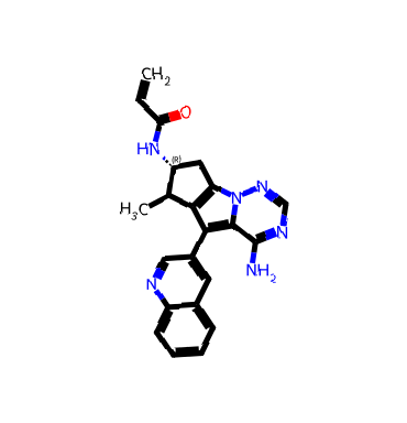 C=CC(=O)N[C@@H]1Cc2c(c(-c3cnc4ccccc4c3)c3c(N)ncnn23)C1C